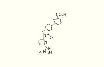 Cc1c(C(=O)O)cccc1-c1ccc2c(c1)C(=O)N(c1cccc(-c3nncn3C(C)C)n1)C2